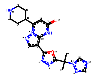 CC(C)(c1nnc(-c2cnn3c(C4CCNCC4)cc(=O)[nH]c23)o1)n1cncn1